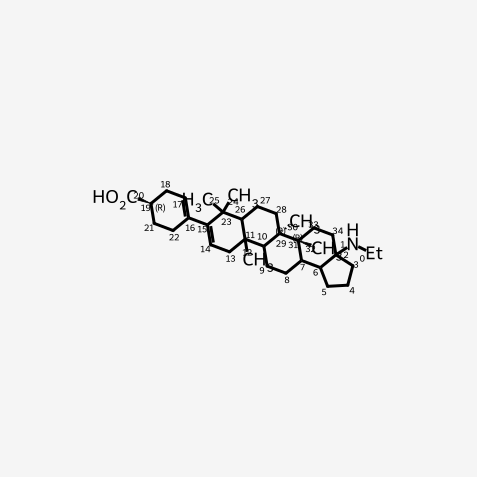 CCNC12CCCC1C1CCC3C4(C)CC=C(C5=CC[C@H](C(=O)O)CC5)C(C)(C)C4CC[C@@]3(C)[C@]1(C)CC2